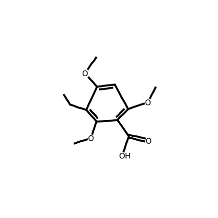 CCc1c(OC)cc(OC)c(C(=O)O)c1OC